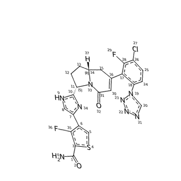 NC(=O)c1scc(-c2c[nH]c([C@@H]3CC[C@@H]4CC(c5c(-n6cnnn6)ccc(Cl)c5F)=CC(=O)N43)n2)c1F